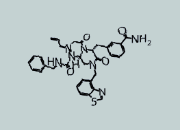 C=CCN1CC(=O)N2[C@@H](Cc3cccc(C(N)=O)c3)C(=O)N(Cc3cccc4scnc34)C[C@@H]2N1C(=O)NCc1ccccc1